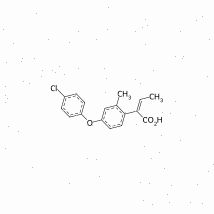 CC=C(C(=O)O)c1ccc(Oc2ccc(Cl)cc2)cc1C